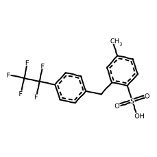 Cc1ccc(S(=O)(=O)O)c(Cc2ccc(C(F)(F)C(F)(F)F)cc2)c1